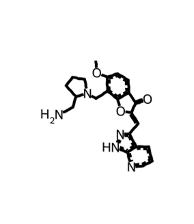 COc1ccc2c(c1CN1CCCC1CN)O/C(=C\c1n[nH]c3ncccc13)C2=O